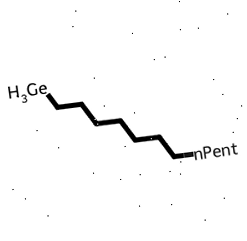 CCCCCCCCCCC[CH2][GeH3]